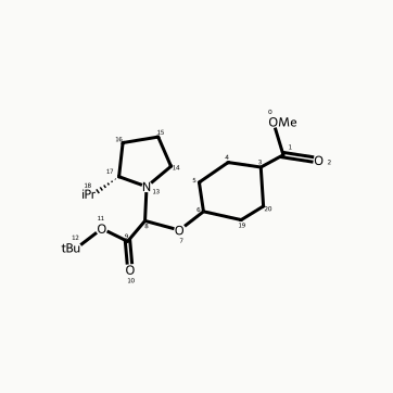 COC(=O)C1CCC(OC(C(=O)OC(C)(C)C)N2CCC[C@H]2C(C)C)CC1